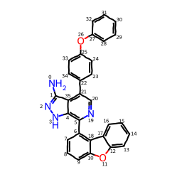 Nc1n[nH]c2c(-c3cccc4oc5ccccc5c34)ncc(-c3ccc(Oc4ccccc4)cc3)c12